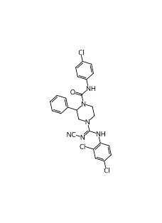 N#C/N=C(/Nc1ccc(Cl)cc1Cl)N1CCN(C(=O)Nc2ccc(Cl)cc2)C(c2ccccc2)C1